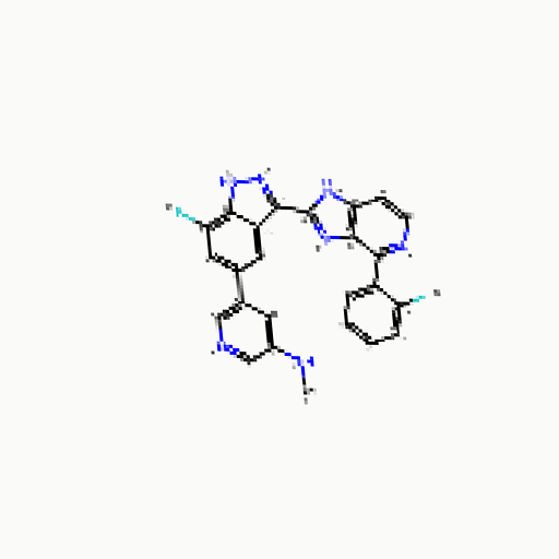 CC(C)Nc1cncc(-c2cc(F)c3[nH]nc(-c4nc5c(-c6ccccc6F)nccc5[nH]4)c3c2)c1